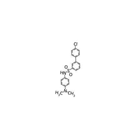 CN(C)c1ccc(NS(=O)(=O)c2cccc(-c3ccc(Cl)cc3)c2)cc1